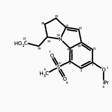 CC(C)Oc1cc(S(C)(=O)=O)c2c(c1)cc1n2C(CC(=O)O)CC1